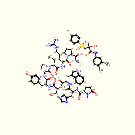 CC(O)(CS(=O)(=O)c1ccc(F)cc1)C(=O)Nc1ccc(C#N)c(C(F)(F)F)c1.CCNC(=O)[C@@H]1CCCN1C(=O)[C@H](CCCNC(=N)N)NC(=O)[C@H](CC(C)C)NC(=O)[C@@H](CC(C)C)NC(=O)[C@H](Cc1ccc(O)cc1)NC(=O)[C@H](CO)NC(=O)[C@H](Cc1c[nH]c2ccccc12)NC(=O)[C@H](Cc1cnc[nH]1)NC(=O)[C@@H]1CCC(=O)N1